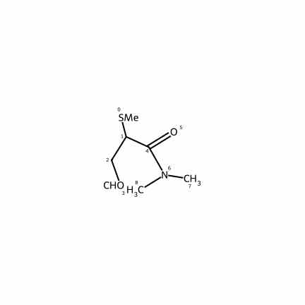 CSC(CC=O)C(=O)N(C)C